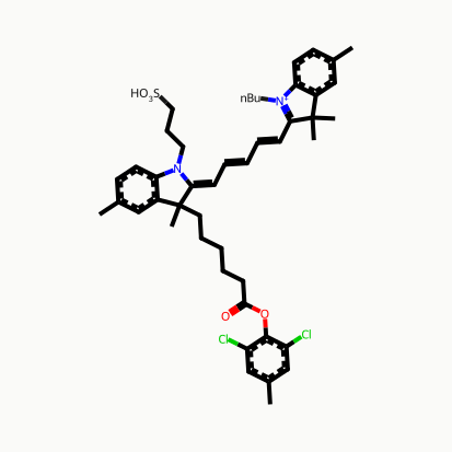 CCCC[N+]1=C(/C=C/C=C/C=C2\N(CCCS(=O)(=O)O)c3ccc(C)cc3C2(C)CCCCCC(=O)Oc2c(Cl)cc(C)cc2Cl)C(C)(C)c2cc(C)ccc21